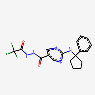 O=C(NNC(=O)C(F)(F)F)c1cnc(NC2(c3ccccc3)CCCC2)nc1